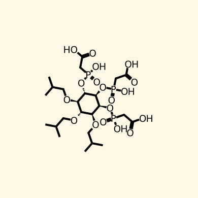 CC(C)CO[C@@H]1[C@@H](OCC(C)C)[C@H](OP(=O)(O)CC(=O)O)[C@@H](OP(=O)(O)CC(=O)O)[C@@H](OP(=O)(O)CC(=O)O)[C@H]1OCC(C)C